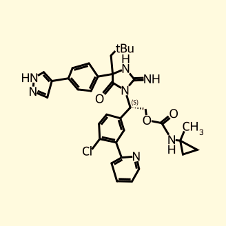 CC(C)(C)CC1(c2ccc(-c3cn[nH]c3)cc2)NC(=N)N([C@H](COC(=O)NC2(C)CC2)c2ccc(Cl)c(-c3ccccn3)c2)C1=O